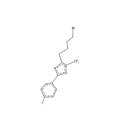 Cc1ccc(-c2nc(CCCCBr)c(C(F)(F)F)o2)cc1